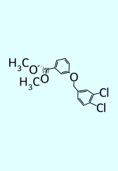 COC[C@@H](OC)c1cccc(OCc2ccc(Cl)c(Cl)c2)c1